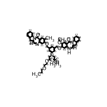 CCCOCCOCCN(CC(C)(C)S)c1cc(COc2cc3c(cc2C)C(=O)N2c4ccccc4C[C@H]2C=N3)cc(COc2cc3c(cc2OC)C(=O)N2c4ccccc4C[C@H]2CN3)c1